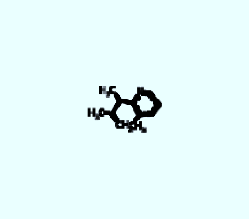 C=C(C)C(C)c1ncccc1C